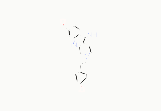 COc1ccc(CCN2C=CC3=C(N)c4ccc(C=O)cc4NC3=C2)c(C)c1